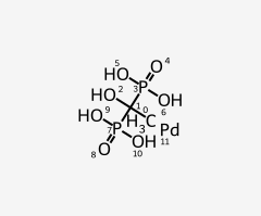 CC(O)(P(=O)(O)O)P(=O)(O)O.[Pd]